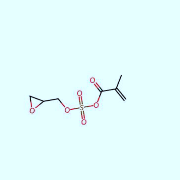 C=C(C)C(=O)OS(=O)(=O)OCC1CO1